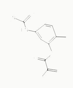 C=C(C)C(=O)Oc1cc(NC(N)=O)ccc1C